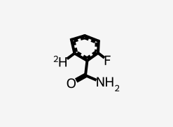 [2H]c1cccc(F)c1C(N)=O